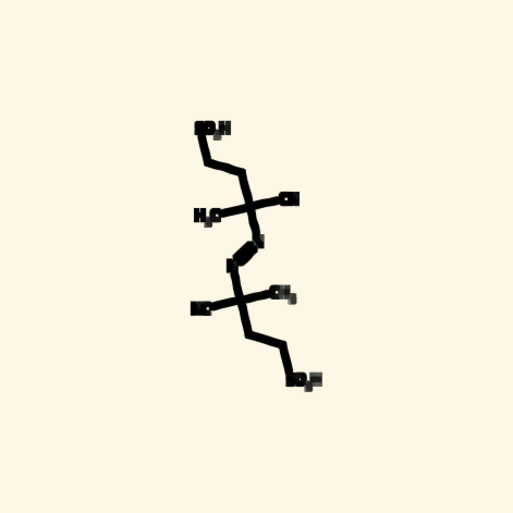 CC(C#N)(CCS(=O)(=O)O)N=NC(C)(C#N)CCS(=O)(=O)O